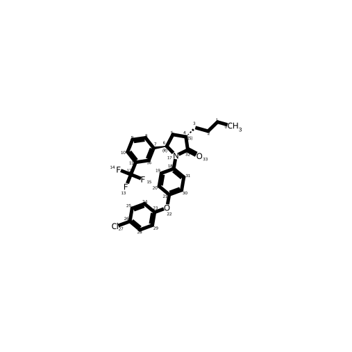 CCCC[C@H]1C[C@H](c2cccc(C(F)(F)F)c2)N(c2ccc(Oc3ccc(Cl)cc3)cc2)C1=O